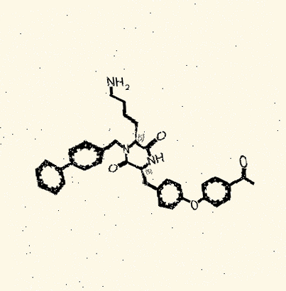 CC(=O)c1ccc(Oc2ccc(C[C@@H]3NC(=O)[C@H](CCCCN)N(Cc4ccc(-c5ccccc5)cc4)C3=O)cc2)cc1